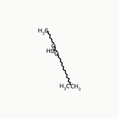 CCCCCCCCOCC(O)COCCCCCCCCCCCCCCCC(C)C